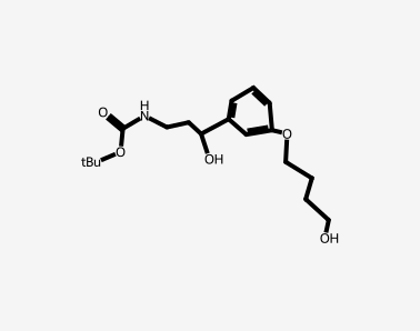 CC(C)(C)OC(=O)NCCC(O)c1cccc(OCCCCO)c1